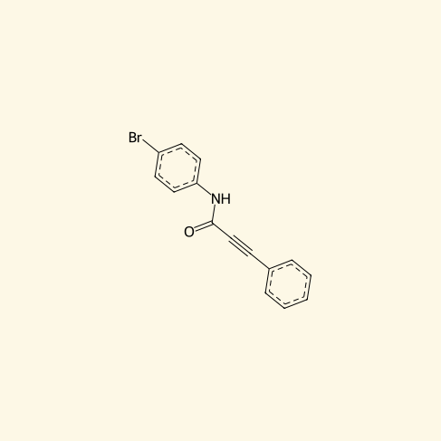 O=C(C#Cc1ccccc1)Nc1ccc(Br)cc1